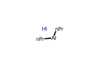 CC[CH2][Al][CH2]CC.I